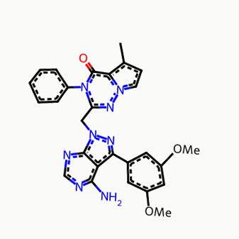 COc1cc(OC)cc(-c2nn(Cc3nn4ccc(C)c4c(=O)n3-c3ccccc3)c3ncnc(N)c23)c1